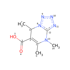 CC1=C(C(=O)O)C(C)n2nnnc2N1C